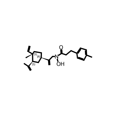 C=C[C@]1(C)CC[C@@H](C(=C)CN(O)C(=O)CCc2ccc(C)cc2)C[C@H]1C(=C)C